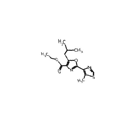 CCOC(=O)c1nc(-c2ncsc2C)oc1CC(C)C